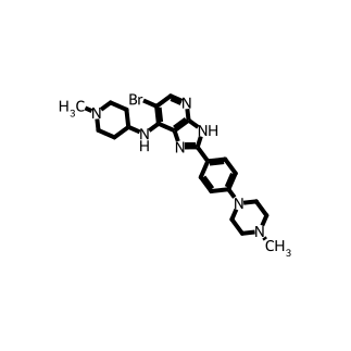 CN1CCC(Nc2c(Br)cnc3[nH]c(-c4ccc(N5CCN(C)CC5)cc4)nc23)CC1